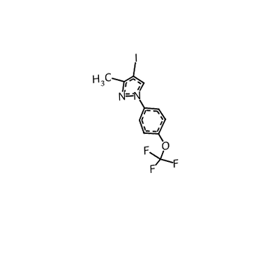 Cc1nn(-c2ccc(OC(F)(F)F)cc2)cc1I